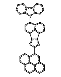 c1cc2ccc3cccc4c(-c5nc6c(s5)-c5cccc7c(-n8c9ccccc9c9ccccc98)ccc-6c57)cc(c1)c2c34